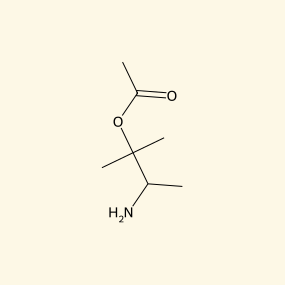 CC(=O)OC(C)(C)C(C)N